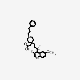 COc1ccc2ncc(F)c([C@@H](F)CCC3(CC(=O)O)CCN(CCCc4ccccc4)CC3)c2c1